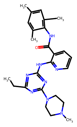 CCc1nc(Nc2ncccc2C(=O)Nc2c(C)cc(C)cc2C)nc(N2CCN(C)CC2)n1